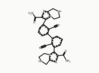 N#Cc1c(-c2cccc(-c3c(C(N)=O)nc4n3CCNC4)c2C#N)cccc1-c1c(C(N)=O)nc2n1CCNC2